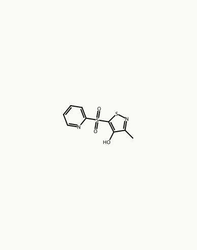 Cc1nsc(S(=O)(=O)c2ccccn2)c1O